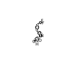 O=C1CCN(c2cnn3ccc(CN4CCN(CC5CC(F)(F)C5)CC4)cc23)C(=O)N1